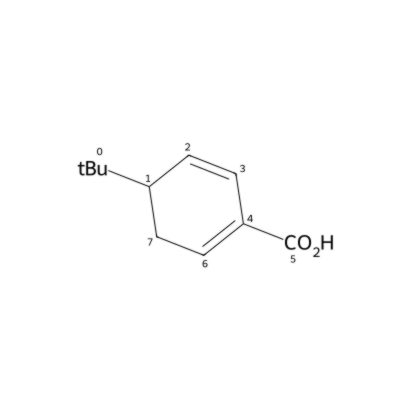 CC(C)(C)C1C=CC(C(=O)O)=CC1